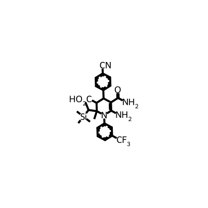 CC(C1(C)C(C(=O)O)C(c2ccc(C#N)cc2)C(C(N)=O)=C(N)N1c1cccc(C(F)(F)F)c1)[Si](C)(C)C